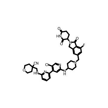 N#CC1(CNc2cccc(-c3cc(NC4CCN(Cc5cc(F)c6c(c5)CN(C5CCC(=O)NC5=O)C6=O)CC4)ncc3Cl)n2)CCOCC1